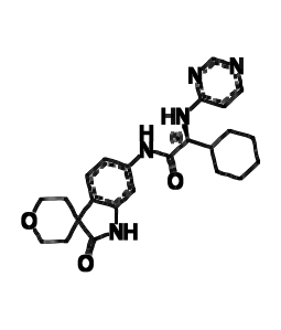 O=C(Nc1ccc2c(c1)NC(=O)C21CCOCC1)[C@@H](Nc1ccncn1)C1CCCCC1